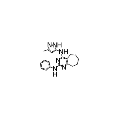 Cc1cc(Nc2nc(Nc3ccccc3)nc3c2CCCCC3)[nH]n1